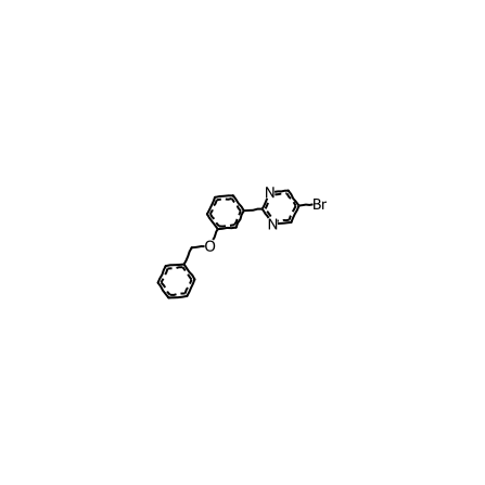 Brc1cnc(-c2cccc(OCc3ccccc3)c2)nc1